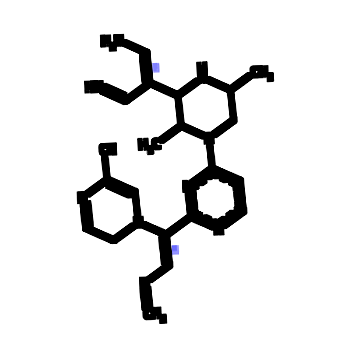 C=N/C=C(/c1nccc(N2CC(C)NC(/C(C=N)=C/N)C2C)n1)N1C=C(C#N)N=CC1